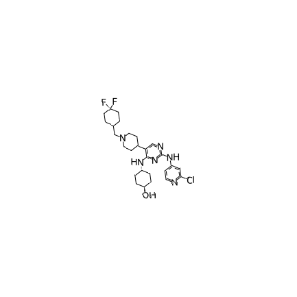 O[C@H]1CC[C@H](Nc2nc(Nc3ccnc(Cl)c3)ncc2C2CCN(CC3CCC(F)(F)CC3)CC2)CC1